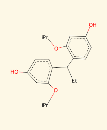 CCC(c1ccc(O)cc1OC(C)C)c1ccc(O)cc1OC(C)C